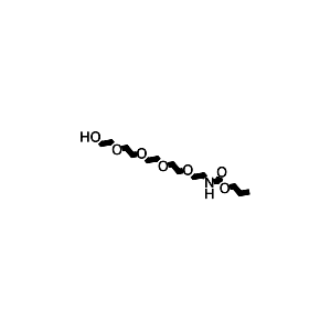 CCCOC(=O)NCCOCCOCCOCCOCCO